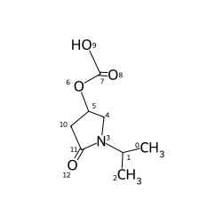 CC(C)N1CC(OC(=O)O)CC1=O